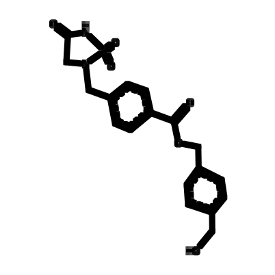 O=C1CN(Cc2ccc(C(=O)OCc3ccc(CO)cc3)cc2)S(=O)(=O)N1